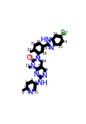 Cc1ccc(Nc2ncc3c(n2)N(C)C(=O)N(c2cc(-c4nc5ccc(Br)cc5[nH]4)ccc2C)C3)cn1